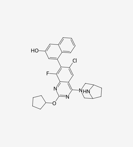 Oc1cc(-c2c(Cl)cc3c(N4CC5CCC(C4)N5)nc(OC4CCCC4)nc3c2F)c2ccccc2c1